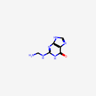 NCNc1nc2[nH]cnc2c(=O)[nH]1